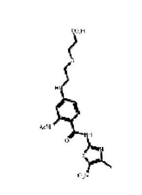 CC(=O)Nc1cc(NCCOCCC(=O)O)ccc1C(=O)Nc1nc(C)c([N+](=O)[O-])s1